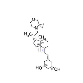 CC(CN1CCOCC12CC2)[C@H]1CC[C@H]2/C(=C/C=C3C[C@@H](O)C[C@H](O)C3)CCC[C@]12C